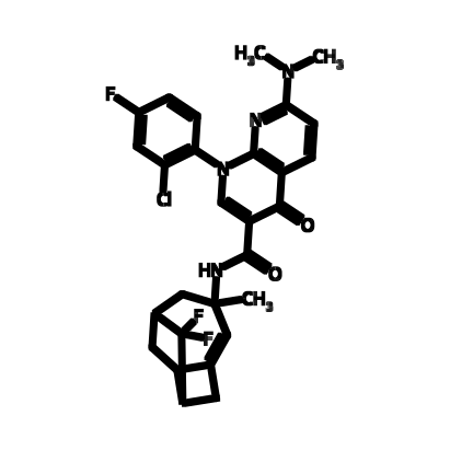 CN(C)c1ccc2c(=O)c(C(=O)NC3(C)C=C4CC5C4CC(C3)C5(F)F)cn(-c3ccc(F)cc3Cl)c2n1